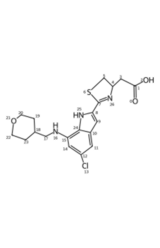 O=C(O)CC1CSC(c2cc3cc(Cl)cc(NCC4CCOCC4)c3[nH]2)=N1